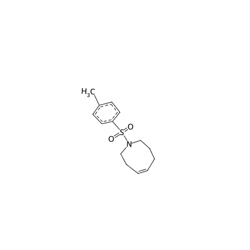 Cc1ccc(S(=O)(=O)N2CC/C=C\CCC2)cc1